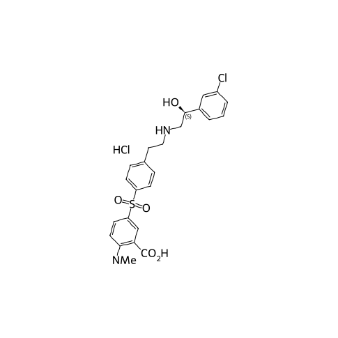 CNc1ccc(S(=O)(=O)c2ccc(CCNC[C@@H](O)c3cccc(Cl)c3)cc2)cc1C(=O)O.Cl